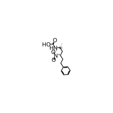 C[C@H](CC(CCc1ccccc1)[N+](=O)[O-])NC(=O)O